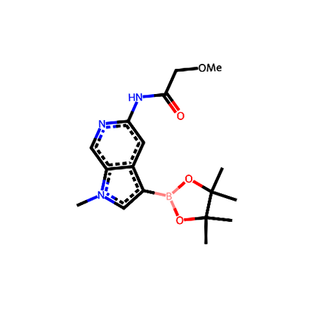 COCC(=O)Nc1cc2c(B3OC(C)(C)C(C)(C)O3)cn(C)c2cn1